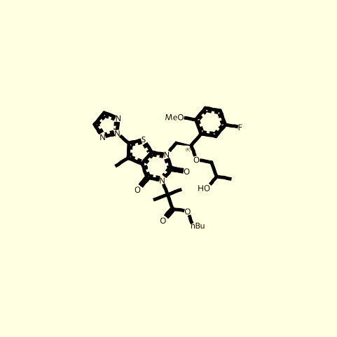 CCCCOC(=O)C(C)(C)n1c(=O)c2c(C)c(-n3nccn3)sc2n(C[C@H](OCC(C)O)c2cc(F)ccc2OC)c1=O